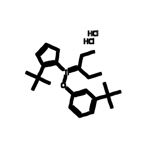 CC[C](CC)=[Ti]([O]c1cccc(C(C)(C)C)c1)[C]1=C(C(C)(C)C)C=CC1.Cl.Cl